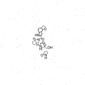 O=C(CO)C(C[C@@H]1CCNC1=O)NC(=O)[C@@H]1[C@H]2CCC[C@H]2CN1C(=O)c1cc2c3c(ccc2[nH]1)CCO3